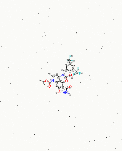 CCOC(=O)N1c2cc(OC)c(C(=O)NC)cc2C(N(Cc2cc(C(F)(F)F)cc(C(F)(F)F)c2)C(=O)OC)CC1C